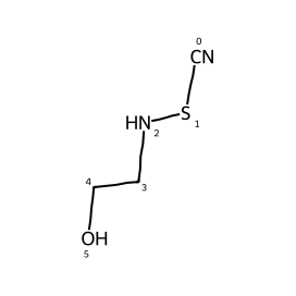 N#CSNCCO